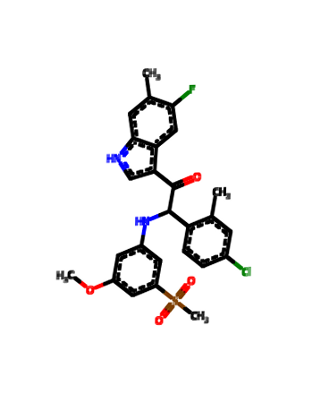 COc1cc(NC(C(=O)c2c[nH]c3cc(C)c(F)cc23)c2ccc(Cl)cc2C)cc(S(C)(=O)=O)c1